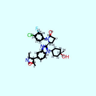 Cc1noc(C)c1-c1ccc2c(c1)nc([C@@H]1CCC(=O)N1c1ccc(Cl)c(F)c1)n2[C@H]1CC[C@@](C)(O)CC1